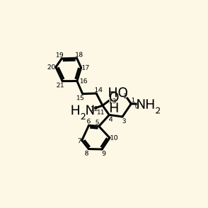 NC(O)CC(c1ccccc1)C(N)(O)CCc1ccccc1